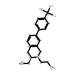 CCCN1Cc2cc(-c3ccc(C(F)(F)F)cc3)ccc2C[C@@H]1CO